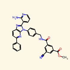 COC(=O)c1cc(C#N)cc(C(=O)NCc2ccc(-n3c(-c4cccnc4N)nc4ccc(-c5ccccc5)nc43)cc2)c1